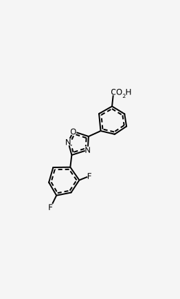 O=C(O)c1cccc(-c2nc(-c3ccc(F)cc3F)no2)c1